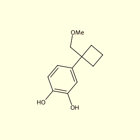 COCC1(c2ccc(O)c(O)c2)CCC1